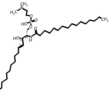 CCCCCCCCCCCCC/C=C/[C@@H](O)[C@H](COP(=O)(O)OCCN(C)C)NC(=O)CCCCCCCCCCCCCCC